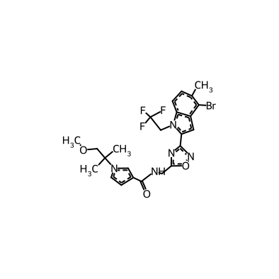 COCC(C)(C)n1ccc(C(=O)NCc2nc(-c3cc4c(Br)c(C)ccc4n3CC(F)(F)F)no2)c1